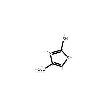 O=C(O)c1csc(S)n1